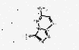 Nc1cnc2nnc(N)n2n1